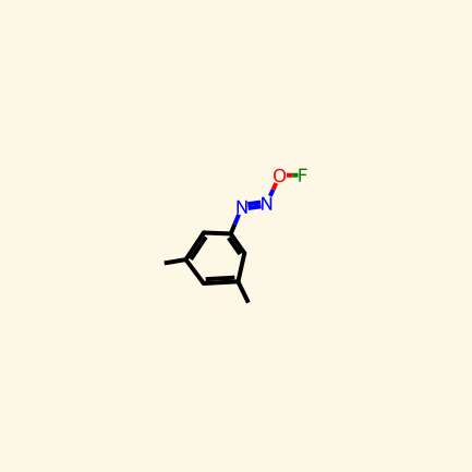 Cc1cc(C)cc(N=NOF)c1